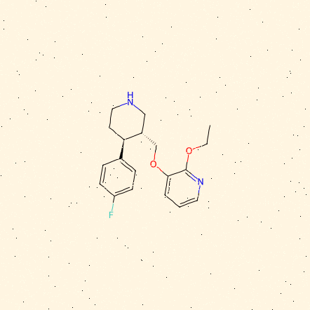 CCOc1ncccc1OC[C@H]1CNCC[C@@H]1c1ccc(F)cc1